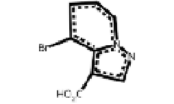 O=C(O)c1cnn2cccc(Br)c12